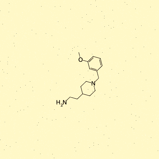 COc1cccc(CN2CCC(CCN)CC2)c1